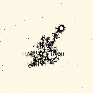 CCCC[C@@H](NC(=O)[C@@H]1CCCN1C(=O)CNC(=O)[C@H](CCCCNC(=O)OC[C@@H]1[C@@H]2CCC#CCC[C@@H]21)NC(=O)[C@@H]1CSSC[C@H](NC(=O)[C@@H]2CCCN2C(=O)[C@H](CCCNC(=N)N)NC(=O)[C@@H]2CCC(=O)N2)C(=O)N[C@@H](CC(C)C)C(=O)N[C@@H](CO)C(=O)N1)C(=O)NCCc1ccccc1